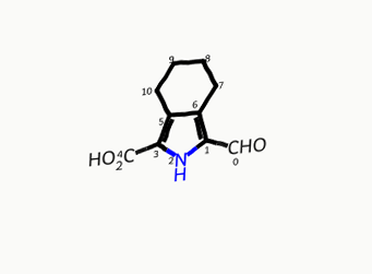 O=Cc1[nH]c(C(=O)O)c2c1CCCC2